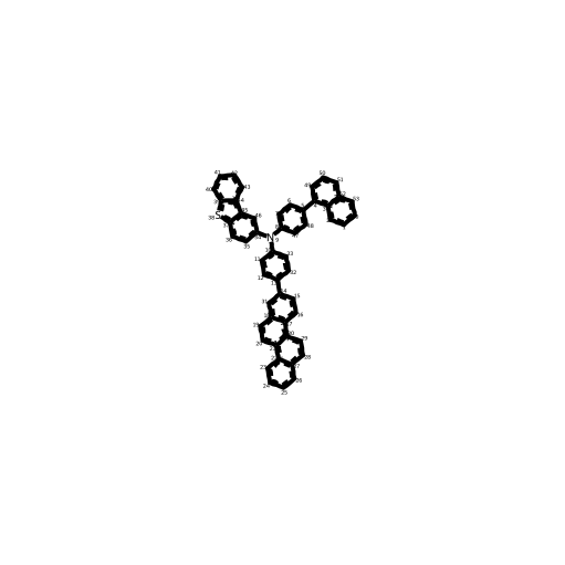 c1ccc2c(-c3ccc(N(c4ccc(-c5ccc6c(ccc7c8ccccc8ccc67)c5)cc4)c4ccc5sc6ccccc6c5c4)cc3)cccc2c1